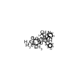 CC(C)C[C@H](NC(=O)C(Cc1ccccc1)NC(=O)c1cnccn1)B1OC[C@@H](C)N(C)[C@H](C)C(=O)O1